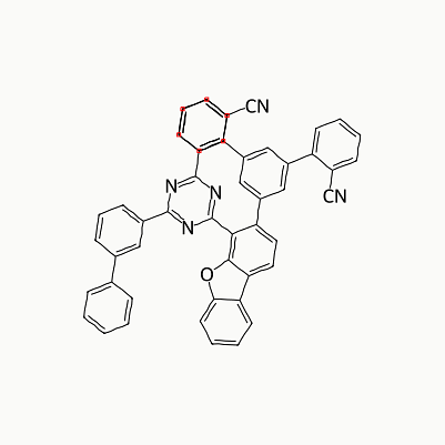 N#Cc1ccccc1-c1cc(-c2ccccc2C#N)cc(-c2ccc3c(oc4ccccc43)c2-c2nc(-c3ccccc3)nc(-c3cccc(-c4ccccc4)c3)n2)c1